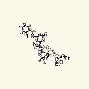 CCOP(=O)(COC[C@H]1O[C@@H](n2cnc3c(NCc4ccccc4)cc(Cl)nc32)[C@@H]2OC(C)(C)O[C@@H]21)OCC